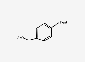 CCCCCc1ccc(COC(C)=O)cc1